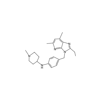 CCc1nc2c(C)cc(C)nc2n1Cc1ccc(NC2CCN(C)CC2)cc1